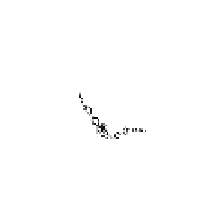 C=CCC[C@H]1CC[C@H](c2ccc(C(F)(F)OCCc3ccc([C@H]4CC[C@H](CCCCCCC)CC4)cc3)cc2)CC1